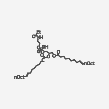 CCCCCCCC/C=C/CCCCCCCC(=O)OCC(COP(=O)(O)OCCNC(=O)CC)OC(=O)CCCCCCC/C=C/CCCCCCCC